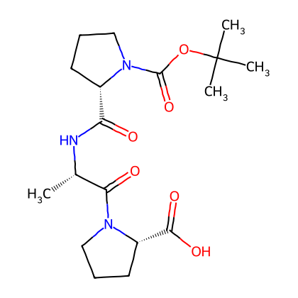 C[C@H](NC(=O)[C@@H]1CCCN1C(=O)OC(C)(C)C)C(=O)N1CCC[C@H]1C(=O)O